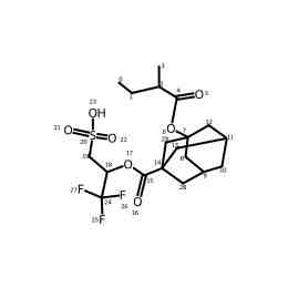 CCC(C)C(=O)OC12CC3CC(C1)CC(C(=O)OC(CS(=O)(=O)O)C(F)(F)F)(C3)C2